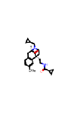 COc1ccc2c(c1)[C@]1(CCNC(=O)C3CC3)CCN(CC3CC3)[C@H](C2)[C@]12CCCCO2